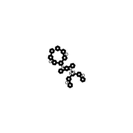 c1ccc(-c2ccc3oc4ccc(-c5cc(-c6ccc7oc8ccc(-c9ccccc9)cc8c7c6)cc(-n6c7ccccc7c7cc8c(cc76)c6ccccc6n8-c6nc(-c7ccc8oc9ccccc9c8c7)cc(-c7ccc8oc9ccccc9c8c7)n6)c5)cc4c3c2)cc1